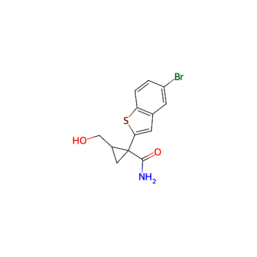 NC(=O)C1(c2cc3cc(Br)ccc3s2)CC1CO